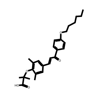 CCCCCCOc1ccc(C(=O)/C=C/c2cc(C)c(OC(C)(C)C(=O)O)c(C)c2)cc1